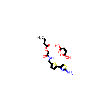 CCCC(=O)OCC(=O)NCc1ccc(-c2csc(N)n2)s1.O=C(O)/C=C\C(=O)O